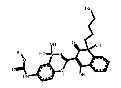 CC(C)(C)CCCCC1(C)C(=O)C(C2=NS(O)(O)c3cc(NC(=O)OC(C)(C)C)ccc3N2)=C(O)c2ccccc21